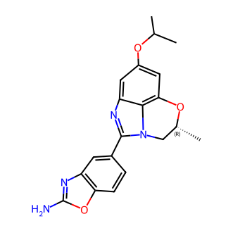 CC(C)Oc1cc2c3c(c1)nc(-c1ccc4oc(N)nc4c1)n3C[C@@H](C)O2